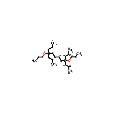 CCCO[Si](CCC)(CCC)CCCC[Si](CCC)(CCC)OCCC